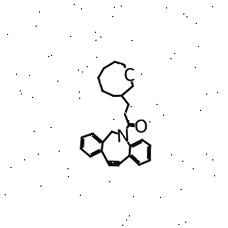 O=C(CCC1CCCCCCCC1)N1Cc2ccccc2C#Cc2ccccc21